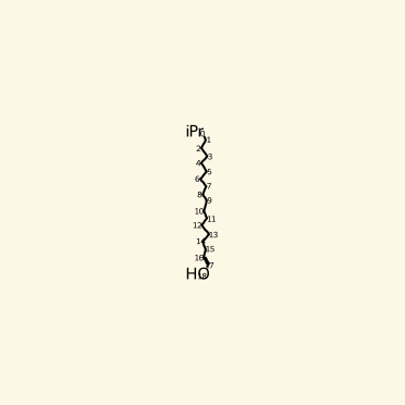 CC(C)CCCCCCCCCCCCCCCC=CO